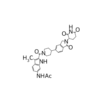 CC(=O)Nc1ccc2c(C)c(C(=O)N3CCC(c4ccc5c(c4)CN(C4CCC(=O)NC4=O)C5=O)CC3)[nH]c2c1